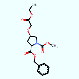 CCOC(=O)CO[C@@H]1C[C@@H](C(=O)OCc2ccccc2)N(C(=O)OC)C1